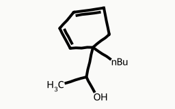 CCCCC1(C(C)O)C=CC=CC1